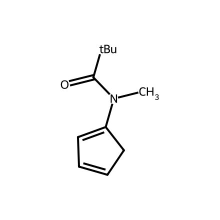 CN(C(=O)C(C)(C)C)C1=CC=CC1